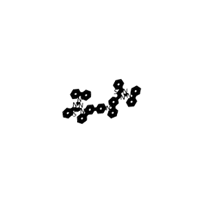 c1ccc2c(c1)sc1c(-c3ccc4c(c3)c3ccccc3n4-c3ccc(-c4ccc5c(c4)c4ccccc4n5-c4nc(-n5c6ccccc6c6ccccc65)nc5c4sc4ccccc45)cc3)nc(-n3c4ccccc4c4ccccc43)nc12